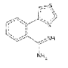 N=C(N)c1ccccc1-c1cscn1